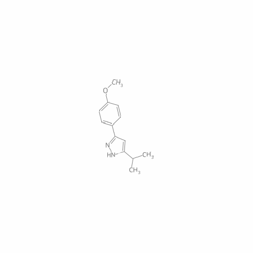 COc1ccc(-c2cc(C(C)C)[nH]n2)cc1